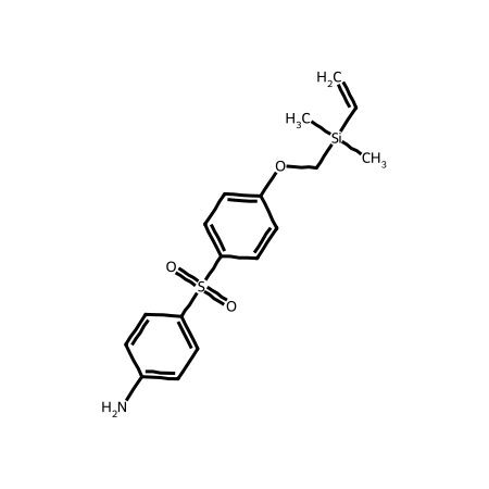 C=C[Si](C)(C)COc1ccc(S(=O)(=O)c2ccc(N)cc2)cc1